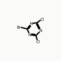 Clc1nc(Cl)nc(Br)n1